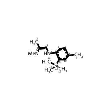 CN/C(C)=C\Nc1ccc(C)cc1[Si](C)(C)C